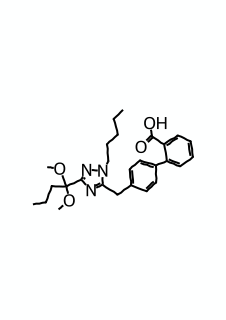 CCCCCn1nc(C(CCC)(OC)OC)nc1Cc1ccc(-c2ccccc2C(=O)O)cc1